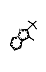 Cc1c(C(C)(C)C)nn2ccccc12